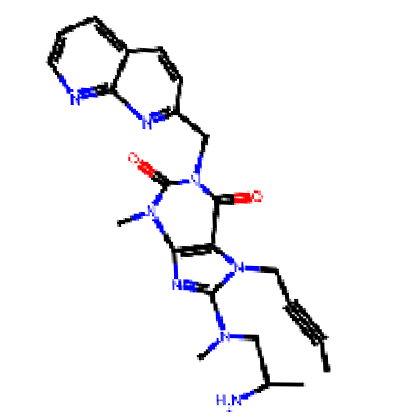 CC#CCn1c(N(C)CC(C)N)nc2c1c(=O)n(Cc1ccc3cccnc3n1)c(=O)n2C